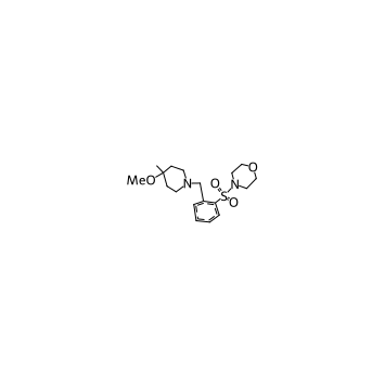 COC1(C)CCN(Cc2ccccc2S(=O)(=O)N2CCOCC2)CC1